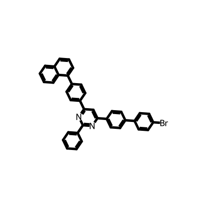 Brc1ccc(-c2ccc(-c3cc(-c4ccc(-c5cccc6ccccc56)cc4)nc(-c4ccccc4)n3)cc2)cc1